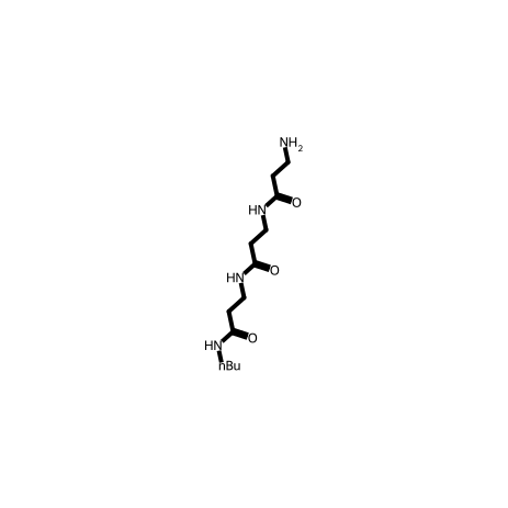 CCCCNC(=O)CCNC(=O)CCNC(=O)CCN